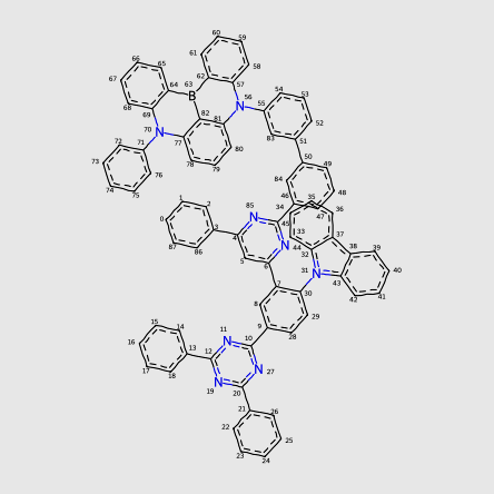 c1ccc(-c2cc(-c3cc(-c4nc(-c5ccccc5)nc(-c5ccccc5)n4)ccc3-n3c4ccccc4c4ccccc43)nc(-c3cccc(-c4cccc(N5c6ccccc6B6c7ccccc7N(c7ccccc7)c7cccc5c76)c4)c3)n2)cc1